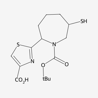 CC(C)(C)OC(=O)N1CC(S)CCCC1c1nc(C(=O)O)cs1